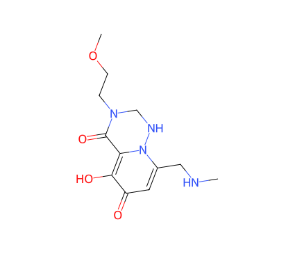 CNCc1cc(=O)c(O)c2n1NCN(CCOC)C2=O